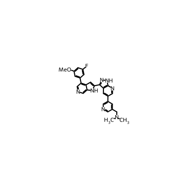 COc1cc(F)cc(-c2cncc3[nH]c(-c4n[nH]c5ncc(-c6cncc(CN(C)C)c6)cc45)cc23)c1